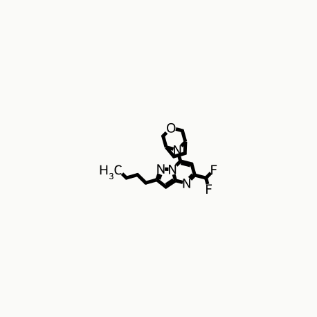 CCCCc1cc2nc(C(F)F)cc(N3C4CCC3COC4)n2n1